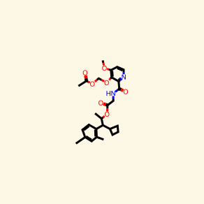 COc1ccnc(C(=O)NCC(=O)OC(C)C(c2ccc(C)cc2C)C2CCC2)c1OCOC(C)=O